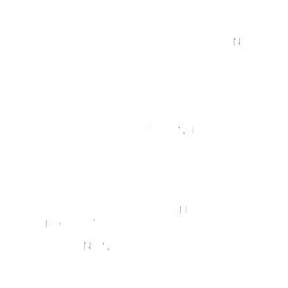 Cc1nnc(-c2ccc(C)c(-c3ccc(C(=O)Nc4ccc(Cc5cccnc5)cc4)cc3)c2)o1